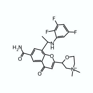 CC(Nc1cc(F)cc(F)c1F)c1cc(C(N)=O)cc2c(=O)cc(C3C[N+](C)(C)CCO3)oc12